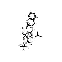 CC(C)C[C@H]1[C@H](C[C@@H](Cc2ccccc2)C(=O)O)OC(C)(C)N1C(=O)OC(C)(C)C